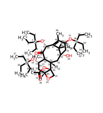 CC[Si](CC)(CC)O[C@H]1C(=O)[C@]2(C)[C@@H](O[Si](CC)(CC)CC)C[C@H]3OC[C@@]3(OC(C)=O)[C@H]2C[C@]2(O)C[C@H](O[Si](CC)(CC)CC)C(C)=C1C2(C)C